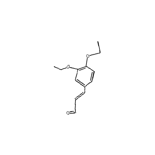 CCOc1ccc(C=C[C]=O)cc1OCC